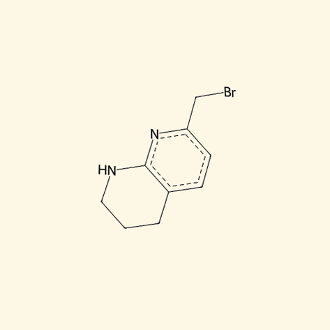 BrCc1ccc2c(n1)NCCC2